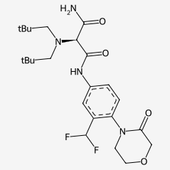 CC(C)(C)CN(CC(C)(C)C)[C@@H](C(N)=O)C(=O)Nc1ccc(N2CCOCC2=O)c(C(F)F)c1